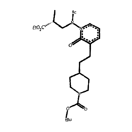 CCOC(=O)[C@H](C)CN(C(C)=O)n1cccc(CCC2CCN(C(=O)OC(C)(C)C)CC2)c1=O